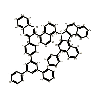 c1ccc(-c2cc(-c3ccccc3)cc(-c3ccc(-c4nc5ccccc5nc4-c4cccc5c(-n6c7ccc8ccccc8c7c7c8ccccc8c(-c8ccccc8)cc76)cccc45)cc3)c2)cc1